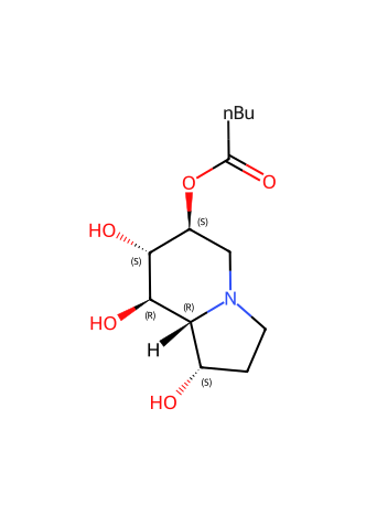 CCCCC(=O)O[C@H]1CN2CC[C@H](O)[C@@H]2[C@@H](O)[C@@H]1O